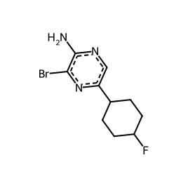 Nc1ncc(C2CCC(F)CC2)nc1Br